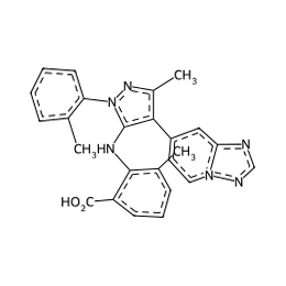 Cc1ccccc1-n1nc(C)c(-c2ccn3ncnc3c2)c1Nc1c(C)cccc1C(=O)O